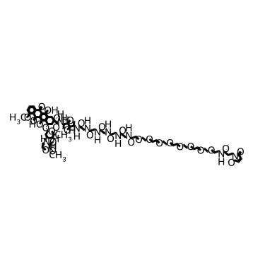 COc1cccc2c1C(=O)c1c(O)c3c(c(O)c1C2=O)C[C@@](O)(C(=O)N[C@H]1CO[C@H]2[C@@H]1OC[C@@H]2NC(=O)CNC(=O)CNC(=O)CNC(=O)CNC(=O)CNC(=O)COCCOCCOCCOCCOCCOCCOCCOCCNC(=O)CCN1C(=O)C=CC1=O)C[C@@H]3O[C@H]1C[C@H]2[C@H](O[C@@H]3[C@@H](OC)OCCN32)[C@H](C)O1